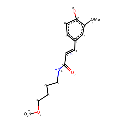 COc1cc(/C=C/C(=O)NCCCCO[N+](=O)[O-])ccc1O